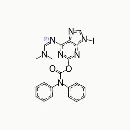 CN(C)/C=N\c1nc(OC(=O)N(c2ccccc2)c2ccccc2)nc2c1ncn2I